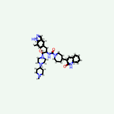 Cc1cc(CC(NC(=O)N2CCCC(c3cc4ccccc4[nH]c3=O)CC2)C(=O)N2CCN(C3CCN(C)CC3)CC2)cc2cn[nH]c12